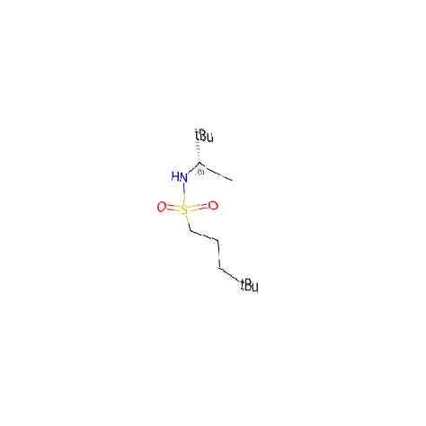 C[C@H](NS(=O)(=O)CCCC(C)(C)C)C(C)(C)C